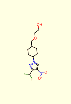 O=[N+]([O-])c1cn(C2CCC(COCCO)CC2)nc1C(F)F